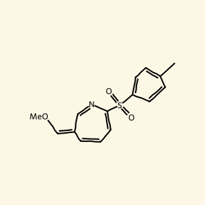 COC=C1C=CC=C(S(=O)(=O)c2ccc(C)cc2)N=C1